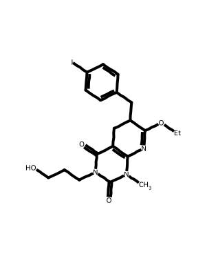 CCOC1=Nc2c(c(=O)n(CCCO)c(=O)n2C)CC1Cc1ccc(I)cc1